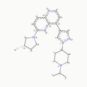 CC(C)N1CCC(n2cc(-c3ccnc4ccc(N5CC[C@H](F)C5)nc34)cn2)CC1